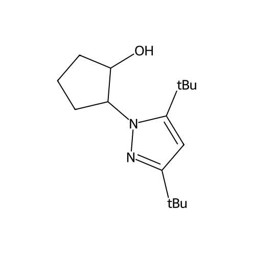 CC(C)(C)c1cc(C(C)(C)C)n(C2CCCC2O)n1